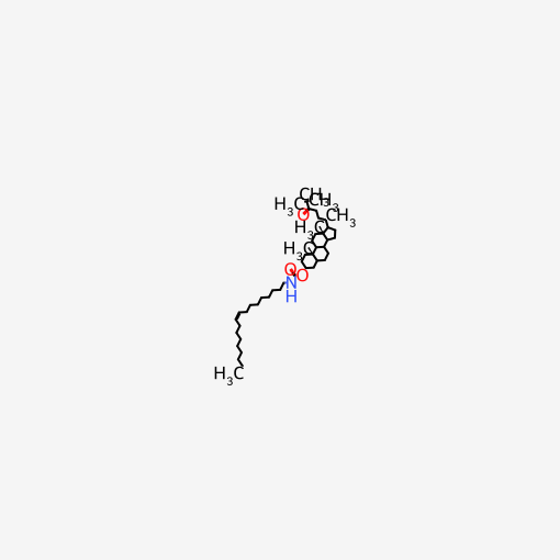 CCCCCCCC/C=C\CCCCCCCCNC(=O)O[C@@H]1CC[C@@]2(C)C(CCC3C4CCC(C(C)CCC(=O)C(C)(C)C)[C@@]4(C)CCC32)C1